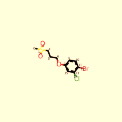 CS(=O)(=O)CCCOc1ccc(Br)c(Cl)c1